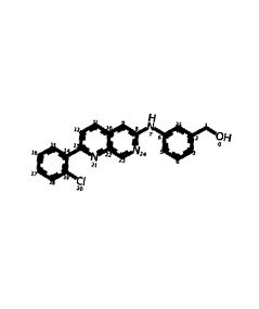 OCc1cccc(Nc2cc3ccc(-c4ccccc4Cl)nc3cn2)c1